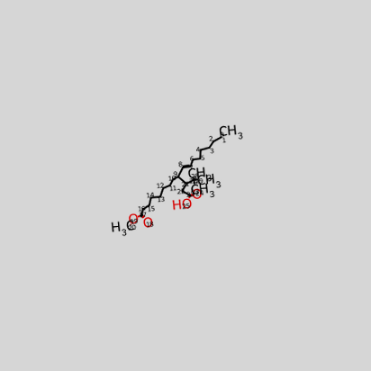 CCCCCCC/C=C/C(CCCCCCCC(=O)OC)C(CC(=O)O)C(C)(C)C